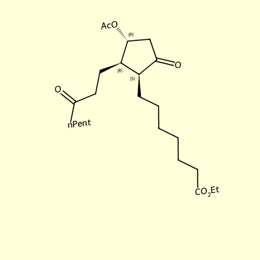 CCCCCC(=O)CC[C@@H]1[C@H](CCCCCCC(=O)OCC)C(=O)C[C@H]1OC(C)=O